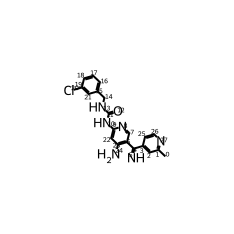 Cc1cc(C(=N)c2cnc(NC(=O)NCc3cccc(Cl)c3)cc2N)ccn1